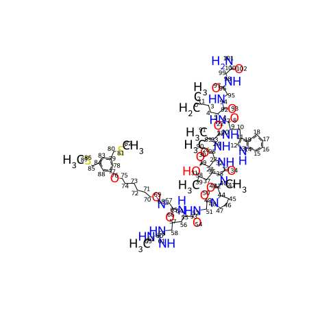 C=C(C)CCC(NC(=O)C(Cc1c[nH]c2ccccc12)NC(=O)C(NC(=O)C(CC(=O)O)NC(=O)C(CCCC)N(C)C(=O)C1CCCN1C(=O)CNC(=O)C(CCCNC(=N)NC)NC(=O)/C=N/OCCCCCCOc1cc(CSC)cc(CSC)c1)C(C)C)C(=O)NCC(=O)NCC(N)=O